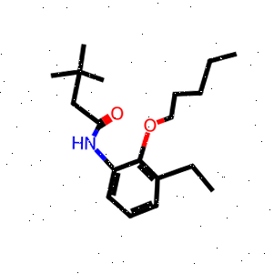 CCCCCOc1c(CC)cccc1NC(=O)CC(C)(C)C